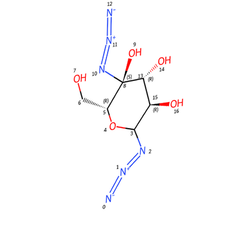 [N-]=[N+]=NC1O[C@H](CO)[C@](O)(N=[N+]=[N-])[C@H](O)[C@H]1O